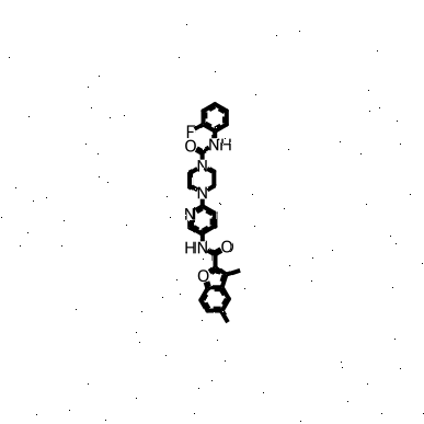 Cc1ccc2oc(C(=O)Nc3ccc(N4CCN(C(=O)Nc5ccccc5F)CC4)nc3)c(C)c2c1